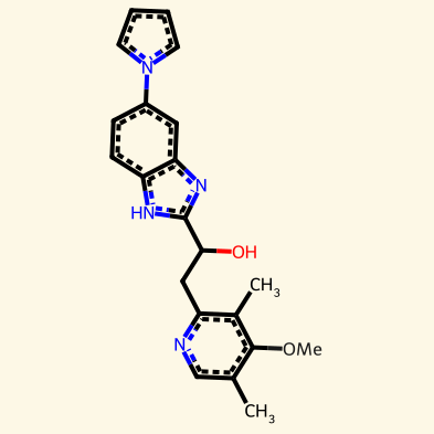 COc1c(C)cnc(CC(O)c2nc3cc(-n4cccc4)ccc3[nH]2)c1C